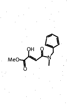 COC(=O)C(O)=CC(=O)N(C)Cc1ccccc1